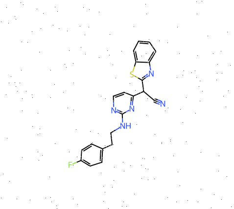 N#CC(c1ccnc(NCCc2ccc(F)cc2)n1)c1nc2ccccc2s1